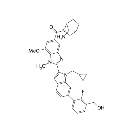 COc1cc(C(=O)N2CC3CCC2C3N)cc2nc(-c3cc4ccc(-c5cccc(CO)c5F)cc4n3CC3CC3)n(C)c12